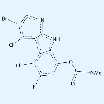 CNC(=O)Oc1cc(F)c(Cl)c2c1[nH]c1ncc(Br)c(Cl)c12